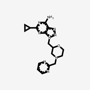 Nc1nc(C2CC2)nc2c1nnn2CC1CN(Cc2ncccn2)CCO1